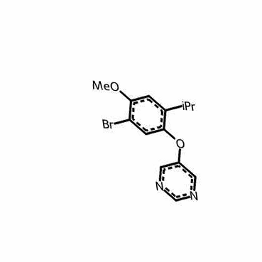 COc1cc(C(C)C)c(Oc2cncnc2)cc1Br